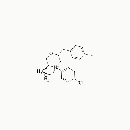 [CH2]C[N+]1(c2ccc(Cl)cc2)C[C@@H](Cc2ccc(F)cc2)OC[C@@H]1C